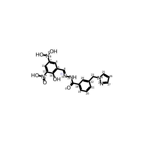 O=C(N/N=C/c1cc(N(O)O)cc([N+](=O)O)c1O)c1cccc(Cn2cccn2)c1